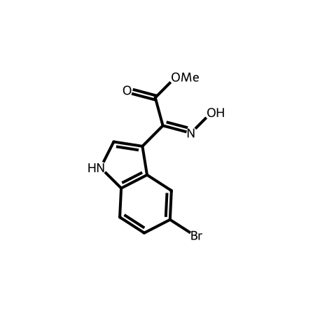 COC(=O)C(=NO)c1c[nH]c2ccc(Br)cc12